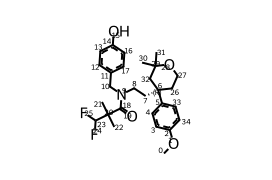 COc1ccc([C@]2(CCN(Cc3ccc(O)cc3)C(=O)C(C)(C)C(F)F)CCOC(C)(C)C2)cc1